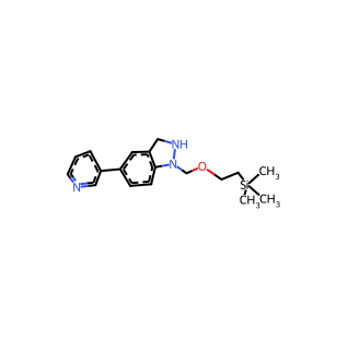 C[Si](C)(C)CCOCN1NCc2cc(-c3cccnc3)ccc21